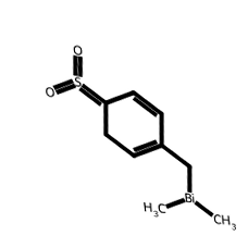 [CH3][Bi]([CH3])[CH2]C1=CCC(=S(=O)=O)C=C1